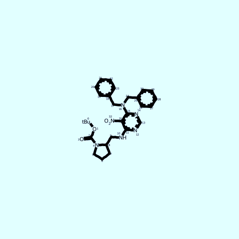 CC(C)(C)OC(=O)N1CCCC1CNc1ncnc(N(Cc2ccccc2)Cc2ccccc2)c1[N+](=O)[O-]